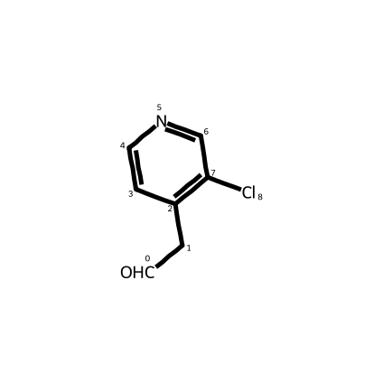 O=CCc1ccncc1Cl